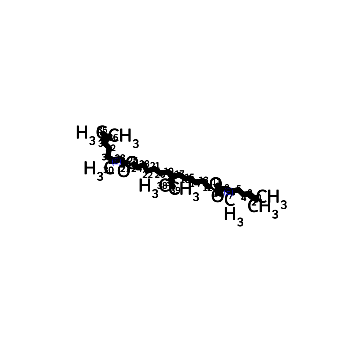 CC(C)=CCC/C(C)=C/C(=O)OCCCCCCC(CCCCCCOC(=O)/C=C(\C)CCC=C(C)C)C(C)C